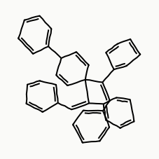 C1=CC(/C(=C\c2ccccc2)c2ccccc2)(/C(=C\c2ccccc2)c2ccccc2)C=CC1c1ccccc1